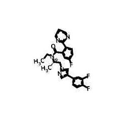 CCN(C(=O)c1cc(F)ccc1-c1ncccn1)[C@@H](C)Cn1cc(-c2ccc(F)c(F)c2)cn1